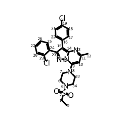 CCS(=O)(=O)N1CCN(c2cc(C)nc3c(-c4ccc(Cl)cc4)c(-c4ccccc4Cl)nn23)CC1